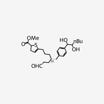 CCCCC(O)C(O)c1ccc(C[C@H](CCC=O)CCCC2=CCC(C(=O)OC)S2)cc1